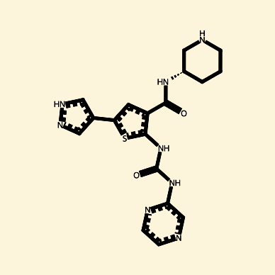 O=C(Nc1cnccn1)Nc1sc(-c2cn[nH]c2)cc1C(=O)N[C@H]1CCCNC1